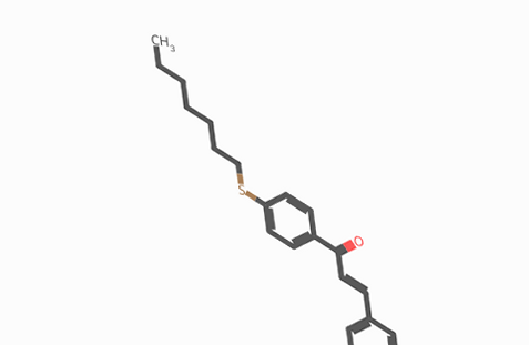 CCCCCCCSc1ccc(C(=O)C=Cc2cccc(Br)c2)cc1